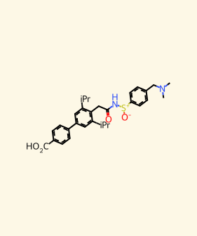 CC(C)c1cc(-c2ccc(C(=O)O)cc2)cc(C(C)C)c1CC(=O)N[S+]([O-])c1ccc(CN(C)C)cc1